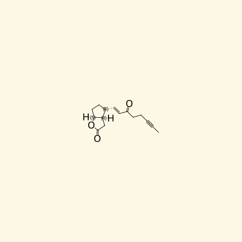 CC#CCCC(=O)C=C[C@H]1CC[C@@H]2OC(=O)C[C@@H]21